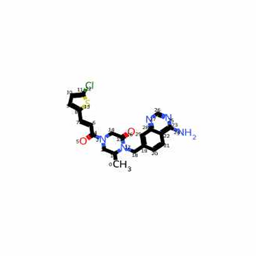 CC1CN(C(=O)C=Cc2ccc(Cl)s2)CC(=O)N1Cc1ccc2c(N)ncnc2c1